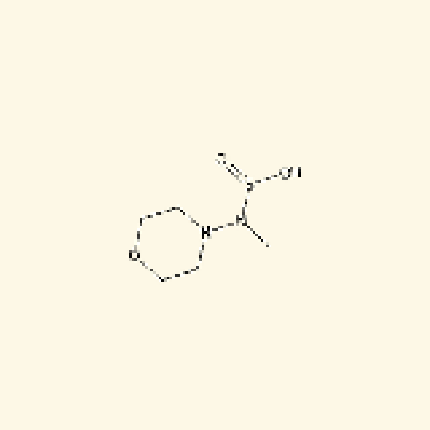 CN(N1CCOCC1)S(=O)O